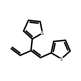 C=CC(=Cc1cccs1)c1cccs1